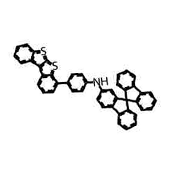 c1ccc2c(c1)-c1ccccc1C21c2ccccc2-c2ccc(Nc3ccc(-c4cccc5c4sc4sc6ccccc6c45)cc3)cc21